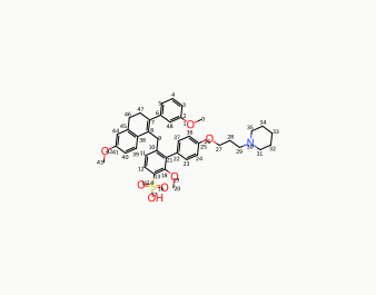 COc1cccc(C2=C(Cc3ccc(S(=O)(=O)O)c(OC)c3-c3ccc(OCCCN4CCCCC4)cc3)c3ccc(OC)cc3CC2)c1